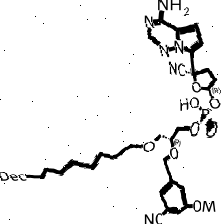 CCCCCCCCCCCCCCCCCCOC[C@H](COP(=O)(O)O[C@@H]1CC[C@](C#N)(c2ccc3c(N)ncnn23)O1)OCc1cc(C#N)cc(OC)c1